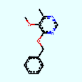 COc1c(C)ncnc1OCc1ccccc1